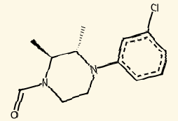 C[C@H]1[C@H](C)N(c2cccc(Cl)c2)CCN1C=O